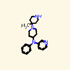 CC1(N2CCC(N(c3ccccc3)c3cccnc3)CC2)CCNCC1